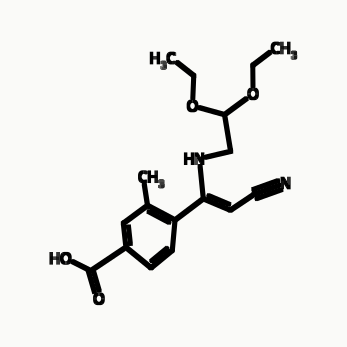 CCOC(CNC(=CC#N)c1ccc(C(=O)O)cc1C)OCC